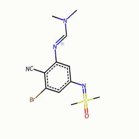 CN(C)/C=N/c1cc(N=S(C)(C)=O)cc(Br)c1C#N